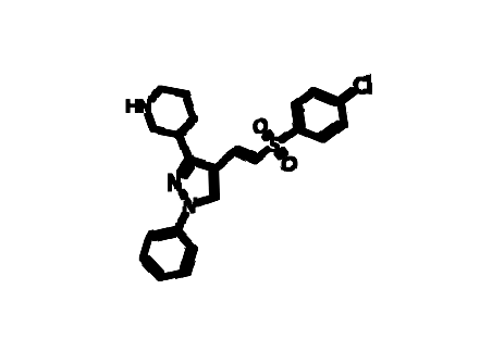 O=S(=O)(C=Cc1cn(-c2ccccc2)nc1C1CCCNC1)c1ccc(Cl)cc1